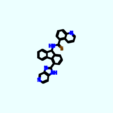 S=C(NC1c2ccccc2-c2c(-c3nc4cnccc4[nH]3)cccc21)c1cccc2ncccc12